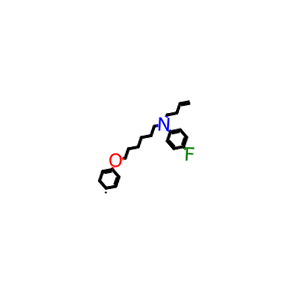 C=CCCN(CCCCCCOC1=CC[CH]C=C1)c1ccc(F)cc1